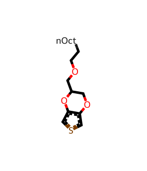 CCCCCCCCCCOCC1COc2cscc2O1